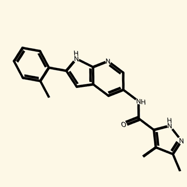 Cc1ccccc1-c1cc2cc(NC(=O)c3[nH]nc(C)c3C)cnc2[nH]1